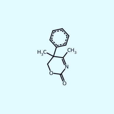 CC1=NC(=O)OCC1(C)c1ccccc1